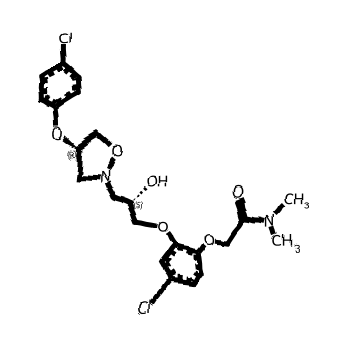 CN(C)C(=O)COc1ccc(Cl)cc1OC[C@@H](O)CN1C[C@@H](Oc2ccc(Cl)cc2)CO1